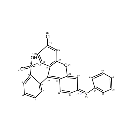 O=S(=O)(O)c1ccccc1-c1c2cc/c(=N/c3ccccc3)cc-2oc2cc(Cl)ccc12